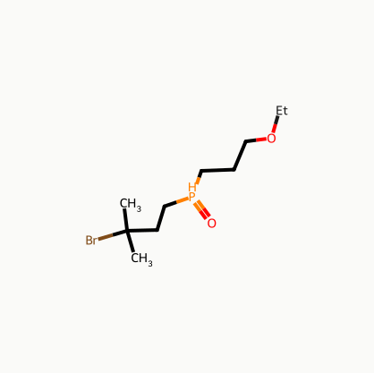 CCOCCC[PH](=O)CCC(C)(C)Br